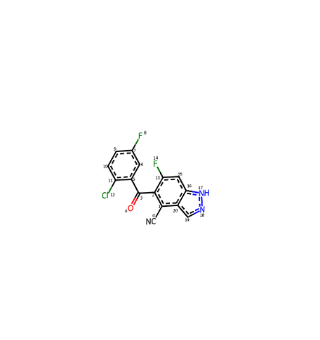 N#Cc1c(C(=O)c2cc(F)ccc2Cl)c(F)cc2[nH]ncc12